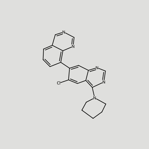 Clc1cc2c(N3CCCCC3)ncnc2cc1-c1cccc2cncnc12